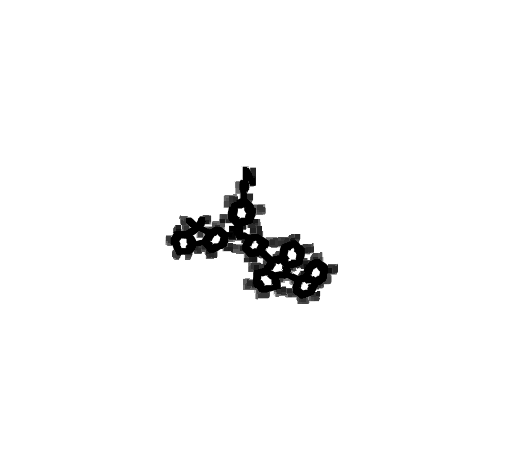 CC1(C)c2ccccc2-c2ccc(N(c3ccc(C#N)cc3)c3ccc(-c4c5ccccc5c(-c5cccc6ccccc56)c5ccccc45)cc3)cc21